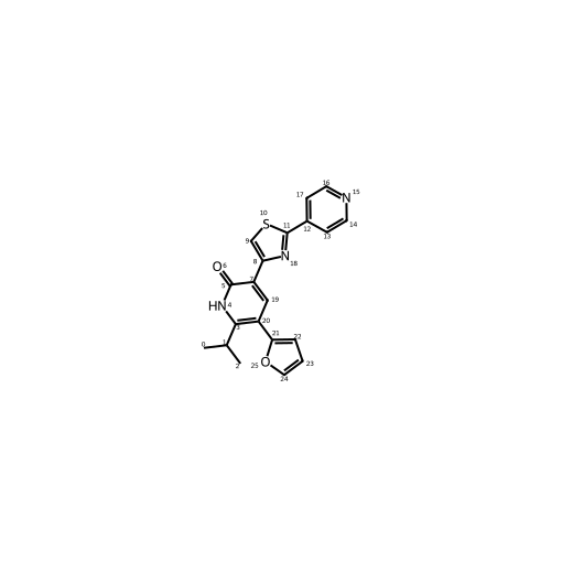 CC(C)c1[nH]c(=O)c(-c2csc(-c3ccncc3)n2)cc1-c1ccco1